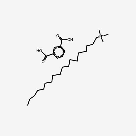 CCCCCCCCCCCCCCCCCC[N+](C)(C)C.O=C(O)c1cccc(C(=O)O)c1